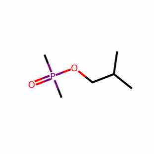 CC(C)COP(C)(C)=O